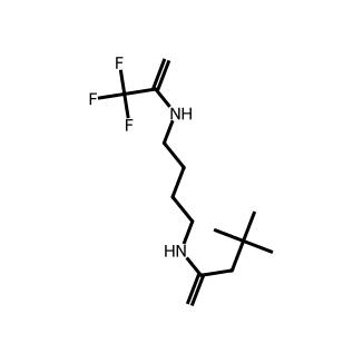 C=C(CC(C)(C)C)NCCCCNC(=C)C(F)(F)F